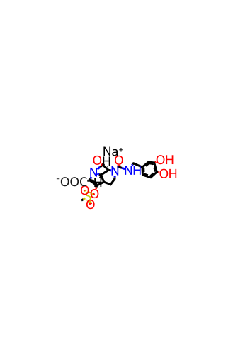 CS(=O)(=O)OC1=C(C(=O)[O-])N2C(=O)[C@@H]3[C@H]2C1CCN3C(=O)NCc1ccc(O)c(O)c1.[Na+]